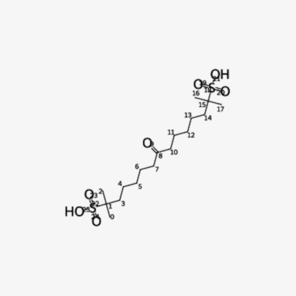 CC(C)(CCCCCC(=O)CCCCCC(C)(C)S(=O)(=O)O)S(=O)(=O)O